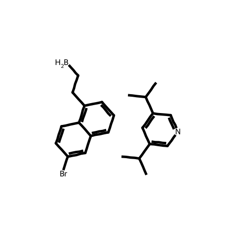 BCCc1cccc2cc(Br)ccc12.CC(C)c1cncc(C(C)C)c1